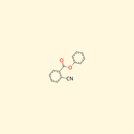 N#Cc1ccccc1C(=O)Oc1ccccc1